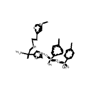 Cc1ccc(S(=O)(=O)O)cc1.Cc1ccc(S(=O)(=O)O)cc1.Cn1cnc(CCNCC(C)(N)c2c[nH]cn2)c1